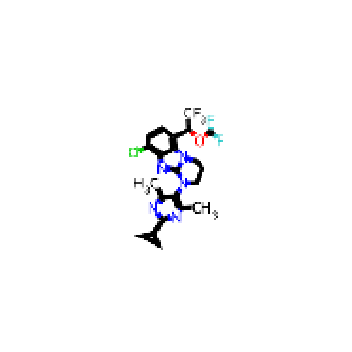 Cc1nc(C2CC2)nc(C)c1N1CCCn2c1nc1c(Cl)ccc(C(OC(F)F)C(F)(F)F)c12